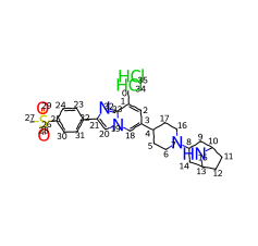 Cc1cc(C2CCN(C3CC4CCC(C3)N4)CC2)cn2cc(-c3ccc(S(C)(=O)=O)cc3)nc12.Cl.Cl